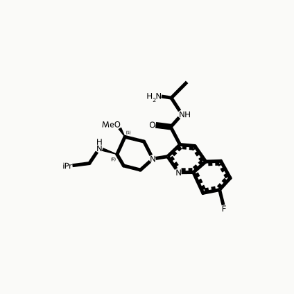 CO[C@H]1CN(c2nc3cc(F)ccc3cc2C(=O)NC(C)N)CC[C@H]1NCC(C)C